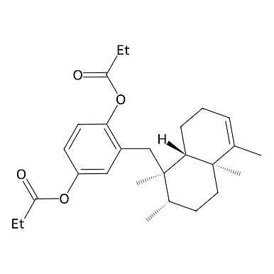 CCC(=O)Oc1ccc(OC(=O)CC)c(C[C@]2(C)[C@@H](C)CC[C@]3(C)C(C)=CCC[C@@H]23)c1